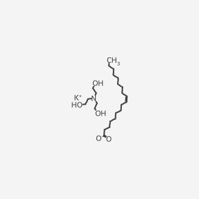 CCCCCCCC/C=C\CCCCCCCC(=O)[O-].OCCN(CCO)CCO.[K+]